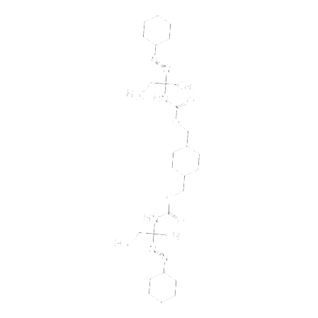 CCC(C)(N=NC1CCCCC1)NC(=O)OCC1CCC(COC(=O)NC(C)(CC)N=NC2CCCCC2)CC1